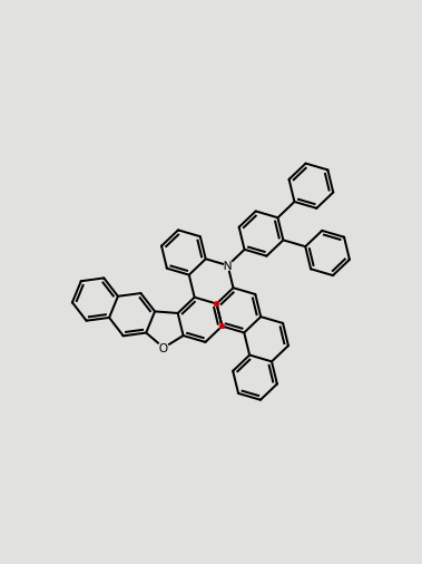 c1ccc(-c2ccc(N(c3ccc4c(ccc5ccccc54)c3)c3ccccc3-c3cccc4oc5cc6ccccc6cc5c34)cc2-c2ccccc2)cc1